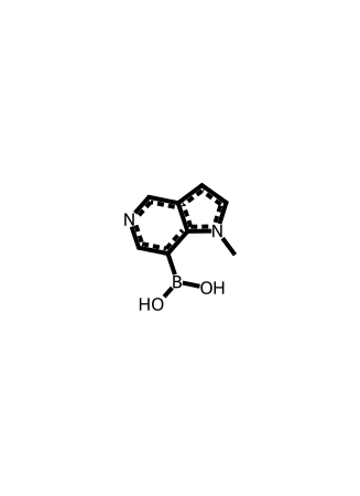 Cn1ccc2cncc(B(O)O)c21